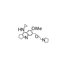 COc1cc2c(NC3CC3)c3c(nc2cc1COCCN1CCCC1)CCC3